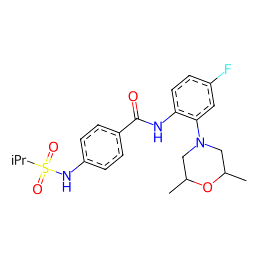 CC1CN(c2cc(F)ccc2NC(=O)c2ccc(NS(=O)(=O)C(C)C)cc2)CC(C)O1